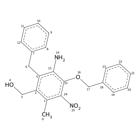 Cc1c(CO)c(Cc2ccccc2)c(N)c(OCc2ccccc2)c1[N+](=O)[O-]